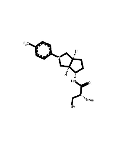 CN[C@H](CC(C)C)C(=O)N[C@H]1CC[C@@H]2CN(c3ccc(C(F)(F)F)cc3)C[C@@H]21